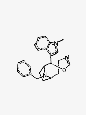 Cn1cc(C2C3CCC(CC24CN=CO4)N3Cc2ccccc2)c2ccccc21